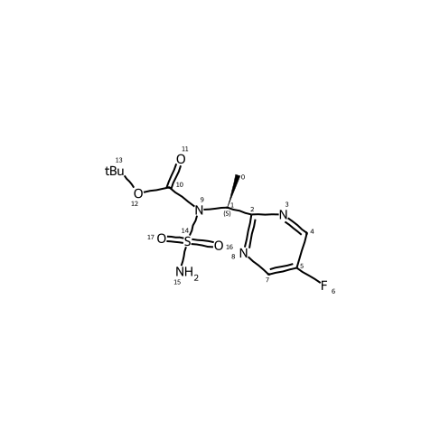 C[C@@H](c1ncc(F)cn1)N(C(=O)OC(C)(C)C)S(N)(=O)=O